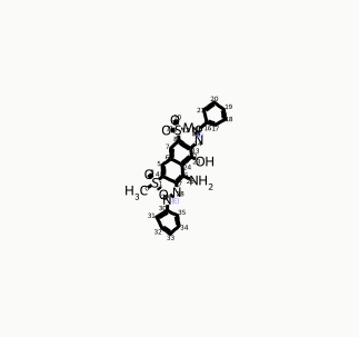 CS(=O)(=O)c1cc2cc([S](=O)(=O)[Mo])c(/N=N/c3ccccc3)c(O)c2c(N)c1/N=N/c1ccccc1